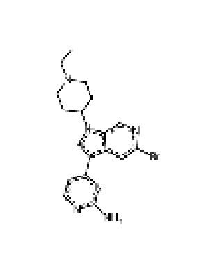 CCN1CCC(n2cc(-c3ccnc(N)n3)c3cc(Br)ncc32)CC1